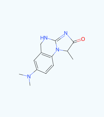 CC1C(=O)N=C2NCc3cc(N(C)C)ccc3N21